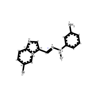 Nc1cccc([NH+]([O-])/N=C/c2cnc3ccc(Br)cn23)c1